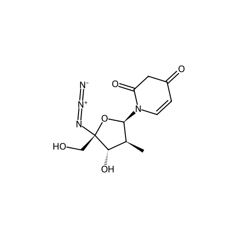 C[C@@H]1[C@H](N2C=CC(=O)CC2=O)O[C@@](CO)(N=[N+]=[N-])[C@H]1O